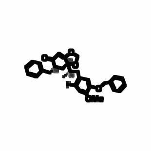 COc1cc(F)c(C[C@H](C)[C@]23C[C@H](Cc4ccccc4)C(=O)C=C2OCO3)cc1OCc1ccccc1